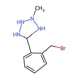 CN1NNC(c2ccccc2CBr)N1